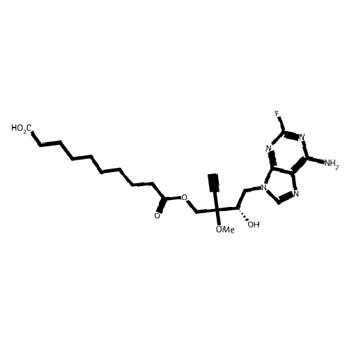 C#CC(COC(=O)CCCCCCCCC(=O)O)(OC)[C@@H](O)Cn1cnc2c(N)nc(F)nc21